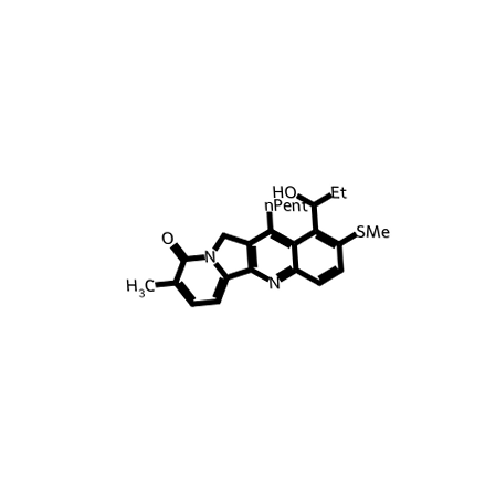 CCCCCc1c2c(nc3ccc(SC)c(C(O)CC)c13)-c1ccc(C)c(=O)n1C2